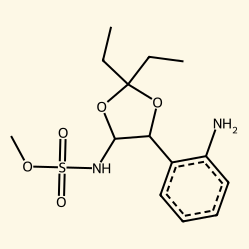 CCC1(CC)OC(NS(=O)(=O)OC)C(c2ccccc2N)O1